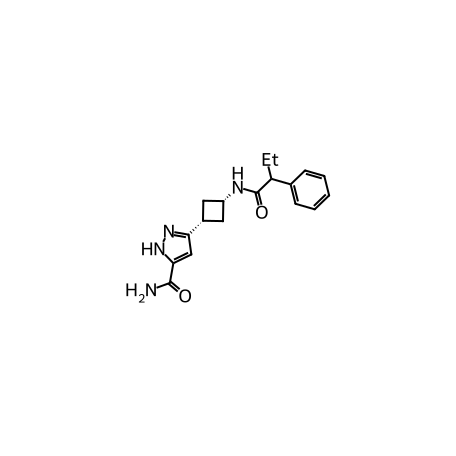 CCC(C(=O)N[C@H]1C[C@@H](c2cc(C(N)=O)[nH]n2)C1)c1ccccc1